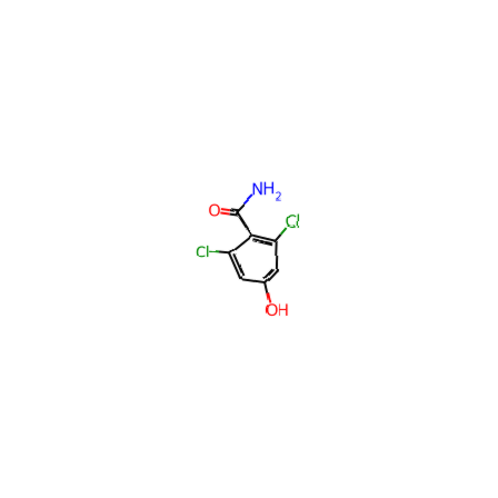 NC(=O)c1c(Cl)cc(O)cc1Cl